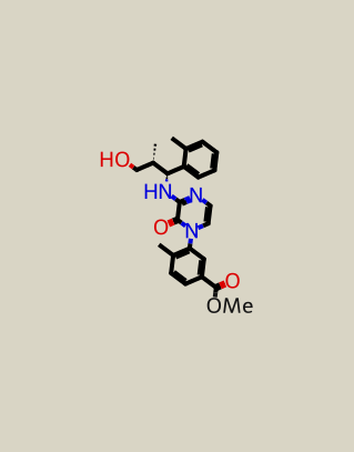 COC(=O)c1ccc(C)c(-n2ccnc(N[C@@H](c3ccccc3C)[C@@H](C)CO)c2=O)c1